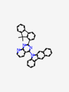 CC1(C)c2ccccc2-c2cccc(-c3nc(-n4c5ccccc5c5cc6ccccc6cc54)c4cccnc4n3)c21